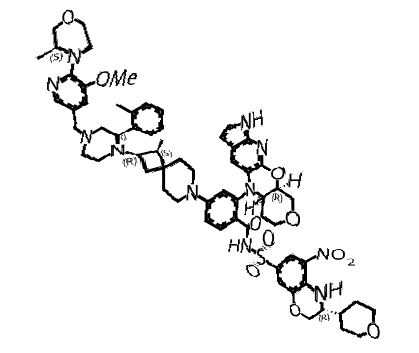 COc1cc(CN2CCN([C@@H]3CC4(CCN(c5ccc(C(=O)NS(=O)(=O)c6cc7c(c([N+](=O)[O-])c6)N[C@H](C6CCOCC6)CO7)c(N6c7cc8cc[nH]c8nc7O[C@H]7COCC[C@@H]76)c5)CC4)[C@@H]3C)[C@H](c3ccccc3C)C2)cnc1N1CCOC[C@@H]1C